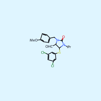 COc1ccc(CN2C(=O)N(C(C)C)C(Sc3cc(Cl)cc(Cl)c3)C2C=O)cc1